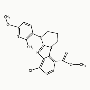 COC(=O)c1ccc(Cl)c2nc3n(c12)CCCN3c1ccc(OC)nc1C